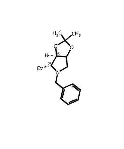 CC[C@@H]1[C@H]2OC(C)(C)OC2CN1Cc1ccccc1